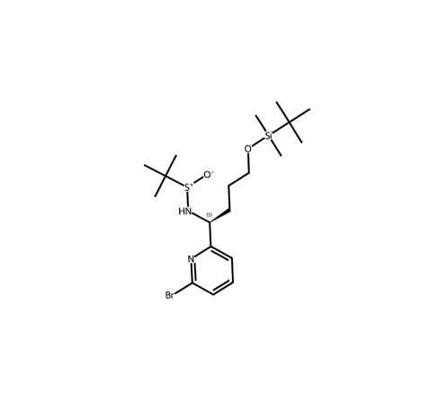 CC(C)(C)[S+]([O-])N[C@@H](CCCO[Si](C)(C)C(C)(C)C)c1cccc(Br)n1